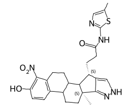 Cc1cnc(NC(=O)CC[C@@H]2c3c[nH]nc3[C@@]3(C)CCC4c5ccc(O)c([N+](=O)[O-])c5CCC4C23)s1